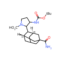 CC(C)(C)OC(=O)NC1CCN(C(=O)O)C1C1[C@@H]2CC3C[C@H]1CC(C(N)=O)(C3)C2